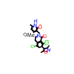 COc1cc(C)[nH]c(=O)c1CN1CCc2c(Cl)cc(-c3c(C)noc3C)c(Cl)c2C1=O